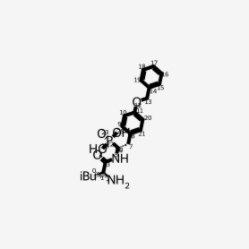 CC[C@H](C)[C@H](N)C(=O)N[C@@H](Cc1ccc(OCc2ccccc2)cc1)P(=O)(O)O